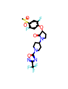 CS(=O)(=O)c1cc(F)c(O[C@H]2CCN(C3CCN(c4nc(C(F)(F)F)no4)CC3)C2=O)cc1F